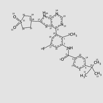 Cc1c(NC(=O)c2ccc(C(C)(C)C)cc2)cc(F)cc1-c1ncnc2[nH]c(C3=CCS(=O)(=O)CC3)cc12